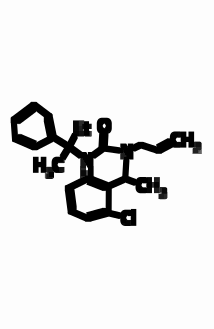 C=CCN(C(=O)NC(C)(CC)c1ccccc1)C(C)c1ccccc1Cl